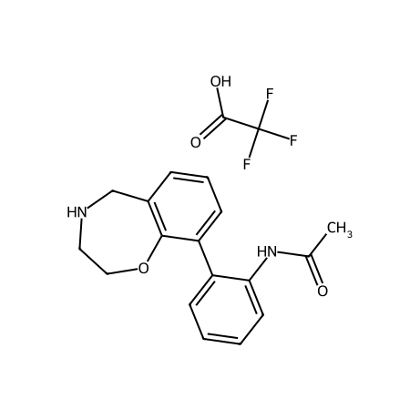 CC(=O)Nc1ccccc1-c1cccc2c1OCCNC2.O=C(O)C(F)(F)F